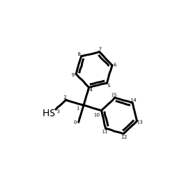 CC(CS)(c1ccccc1)c1ccccc1